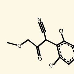 COCC(=O)C(C#N)c1c(Cl)cccc1Cl